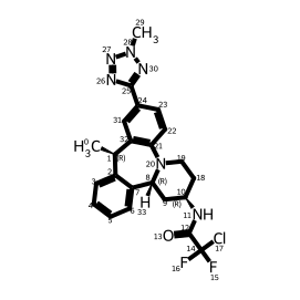 C[C@@H]1c2ccccc2[C@H]2C[C@H](NC(=O)C(F)(F)Cl)CCN2c2ccc(-c3nnn(C)n3)cc21